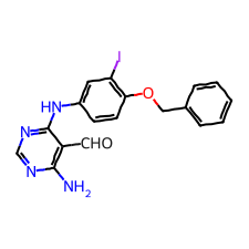 Nc1ncnc(Nc2ccc(OCc3ccccc3)c(I)c2)c1C=O